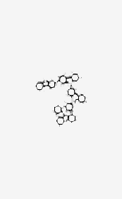 c1ccc([Si](c2ccccc2)(c2ccccc2)c2ccc(-n3c4ccccc4c4cc(-n5c6ccccc6c6ccc(-c7ccc8c(c7)sc7ccccc78)cc65)ccc43)cc2)cc1